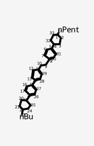 CCCCCC1CCC(c2ccc(CCc3ccc(-c4ccc(C5CCC(CCCC)CC5)cc4)cc3)cc2)CC1